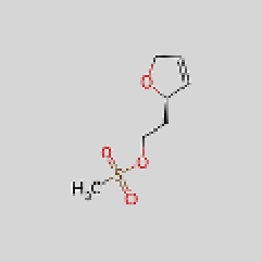 CS(=O)(=O)OCC[C@@H]1C=CCO1